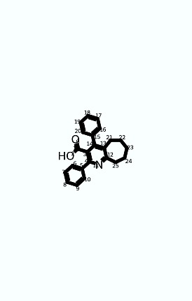 O=C(O)c1c(-c2ccccc2)nc2c(c1-c1ccccc1)CCCCC2